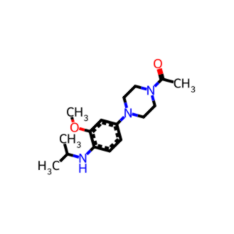 COc1cc(N2CCN(C(C)=O)CC2)ccc1NC(C)C